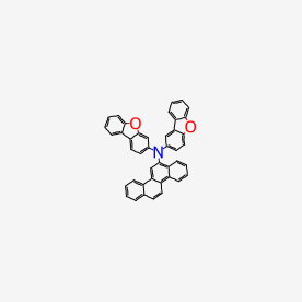 c1ccc2c(c1)ccc1c3ccccc3c(N(c3ccc4c(c3)oc3ccccc34)c3ccc4oc5ccccc5c4c3)cc21